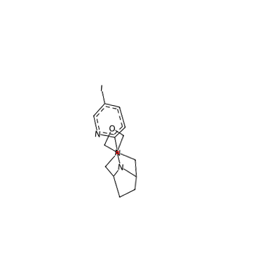 Ic1ccc(N2CC3CCC(C2)N3C2COC2)nc1